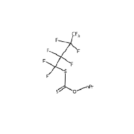 CCCOC(=S)SC(F)(F)C(F)(F)C(F)(F)C(F)(F)F